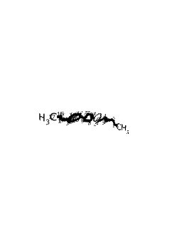 CCCC=CCOc1ccc(C23CCC(CCC)(CC2)CC3)cc1